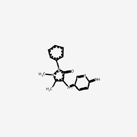 Cc1c(/N=C2/C=CC(=N)N=C2)c(=O)n(-c2ccccc2)n1C